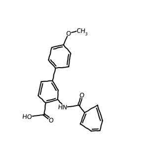 COc1ccc(-c2ccc(C(=O)O)c(NC(=O)c3ccccc3)c2)cc1